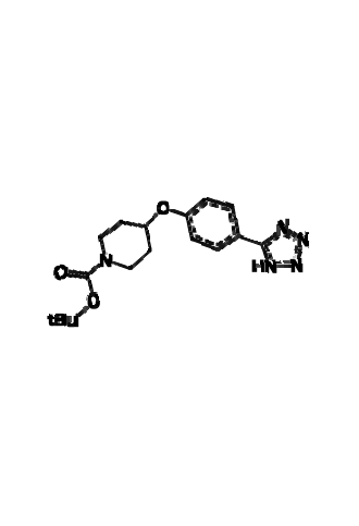 CC(C)(C)OC(=O)N1CCC(Oc2ccc(-c3nnn[nH]3)cc2)CC1